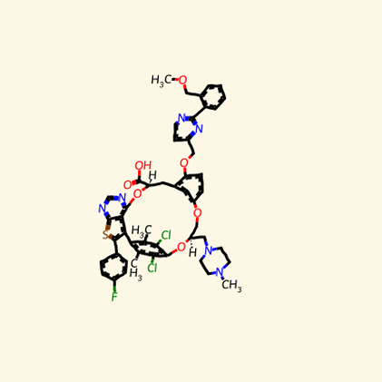 COCc1ccccc1-c1nccc(COc2ccc3cc2C[C@H](C(=O)O)Oc2ncnc4sc(-c5ccc(F)cc5)c(c24)-c2c(C)c(Cl)c(c(Cl)c2C)O[C@H](CN2CCN(C)CC2)CO3)n1